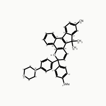 CSc1ccc(C2(c3ccc(N4CCOCC4)cc3)C=Cc3c4c(c5ccccc5c3O2)-c2ccc(C#N)cc2C4(C)C)cc1